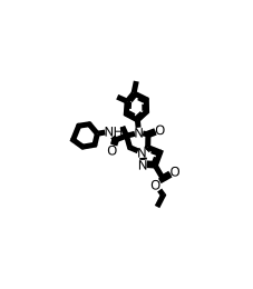 CCOC(=O)c1cc2n(n1)CC(C)(C(=O)NC1CCCCC1)N(c1ccc(C)c(C)c1)C2=O